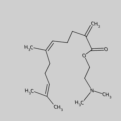 C=C(CCC=C(C)CCC=C(C)C)C(=O)OCCN(C)C